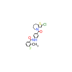 Cc1c(F)cccc1C(=O)Nc1ccc(C(=O)N2CCCCc3sc(Cl)cc32)cc1